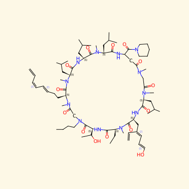 C=C/C=C\C=C\CC[C@H]1C(=O)N(C)[C@@H](CC(C)C)C(=O)N[C@@H](CC(C)C)C(=O)N(C)[C@@H](CC(C)C)C(=O)NC(C(=O)N2CCCCC2)CC(=O)N(C)CC(=O)N(C)[C@@H](CC(C)C)C(=O)N[C@@H](C/C(C=C)=C/C=C/O)C(=O)N(C)[C@@H](CC)C(=O)N[C@@H](C(C)O)C(=O)N(CCCC)CC(=O)N1C